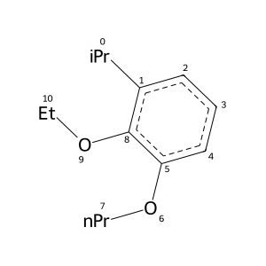 [CH2]C(C)c1cccc(OCCC)c1OCC